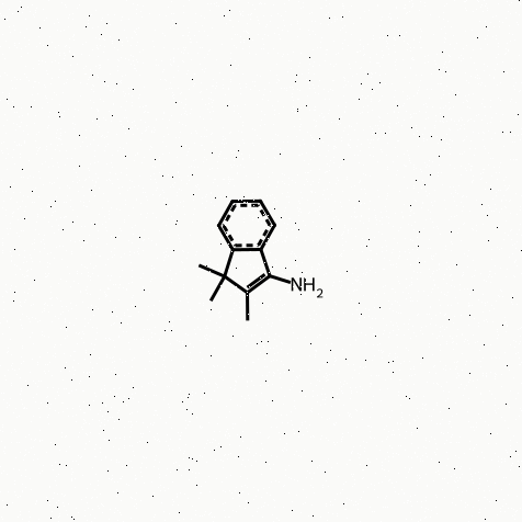 CC1=C(N)c2ccccc2C1(C)C